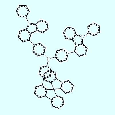 c1ccc(-n2c3ccccc3c3c(-c4ccc(N(c5ccc(-c6cccc7c6C6(c8ccccc8-c8ccccc86)c6ccccc6-7)cc5)c5ccc(-c6cccc7c6c6ccccc6n7-c6ccccc6)cc5)cc4)cccc32)cc1